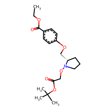 CCOC(=O)c1ccc(OC[C@@H]2CCCN2OCC(=O)OC(C)(C)C)cc1